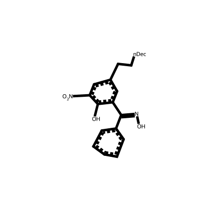 CCCCCCCCCCCCc1cc(C(=NO)c2ccccc2)c(O)c([N+](=O)[O-])c1